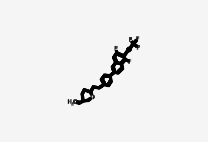 C=CC1CCC(CCc2ccc(-c3ccc4c(F)c(C#CC(F)(F)F)c(F)cc4c3)cc2)OC1